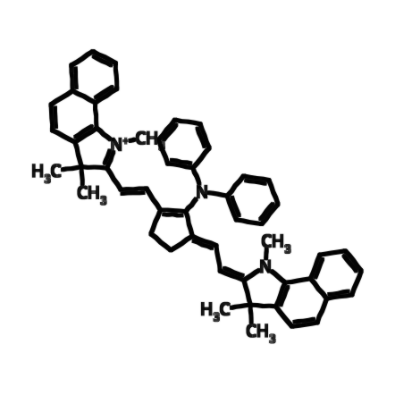 CN1C(=CC=C2CCC(C=CC3=[N+](C)c4c(ccc5ccccc45)C3(C)C)=C2N(c2ccccc2)c2ccccc2)C(C)(C)c2ccc3ccccc3c21